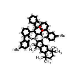 CCCCc1ccc(N2C3=C(B4c5c2cc2oc6ccccc6c2c5-c2cccc5c6cc(CCCC)ccc6n4c25)C(C)(C)c2cc4c(cc23)C(C)(C)CCC4(C)C)c(-c2ccccc2)c1